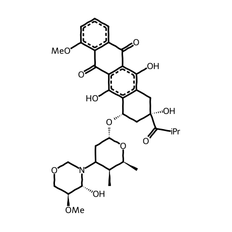 COc1cccc2c1C(=O)c1c(O)c3c(c(O)c1C2=O)C[C@@](O)(C(=O)C(C)C)C[C@@H]3O[C@H]1CC(N2COC[C@H](OC)[C@H]2O)[C@H](C)[C@H](C)O1